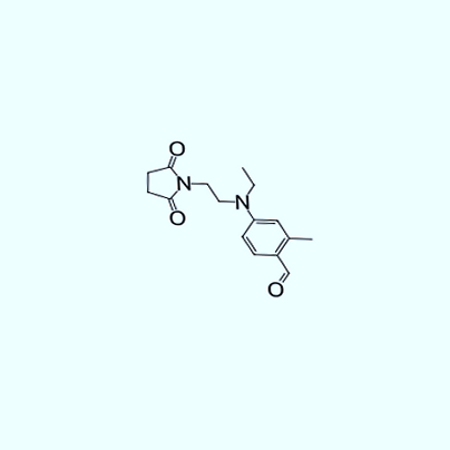 CCN(CCN1C(=O)CCC1=O)c1ccc(C=O)c(C)c1